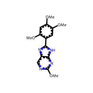 COc1ncc2nc(-c3cc(OC)c(OC)cc3OC)[nH]c2n1